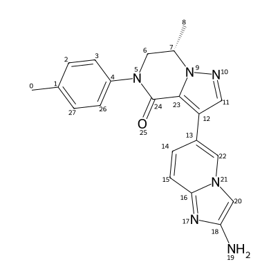 Cc1ccc(N2C[C@H](C)n3ncc(-c4ccc5nc(N)cn5c4)c3C2=O)cc1